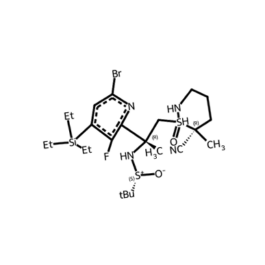 CC[Si](CC)(CC)c1cc(Br)nc([C@](C)(C[SH]2(=O)NCCC[C@]2(C)C#N)N[S@+]([O-])C(C)(C)C)c1F